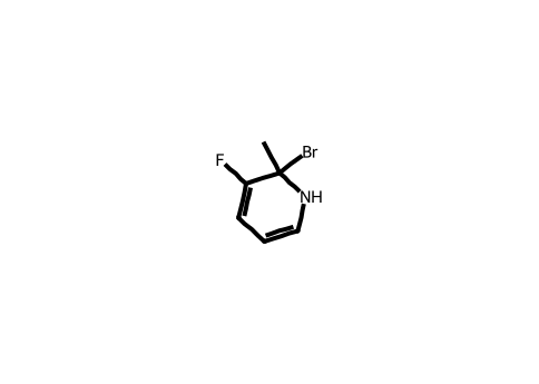 CC1(Br)NC=CC=C1F